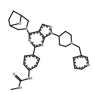 CNC(=O)Nc1ccc(-c2nc(N3CC4CCC(C3)O4)c3cnn(C4CCN(Cc5cccnc5)CC4)c3n2)cc1